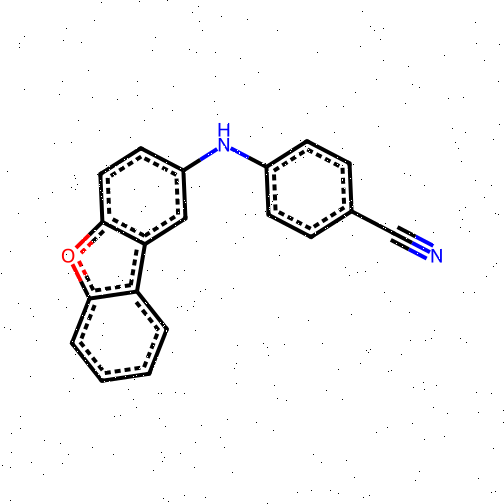 N#Cc1ccc(Nc2ccc3oc4ccccc4c3c2)cc1